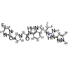 C=N/C(=N\C(=C(C)C)c1c[nH]c2c(NC(=O)CN3CC[C@H](Oc4ncc(F)cn4)C3)cccc12)Nc1cc(C)n(C)n1